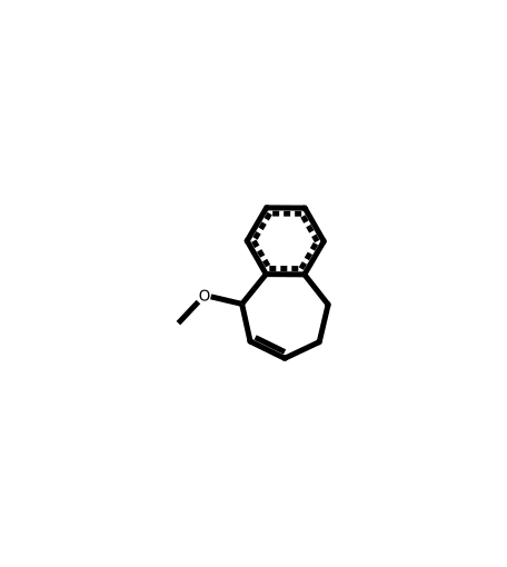 COC1C=CCCc2ccccc21